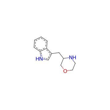 c1ccc2c(CC3COCCN3)c[nH]c2c1